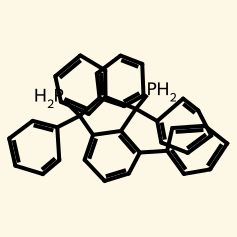 PC(c1ccccc1)(c1ccccc1)c1cccc(-c2ccccc2)c1C(P)(c1ccccc1)c1ccccc1